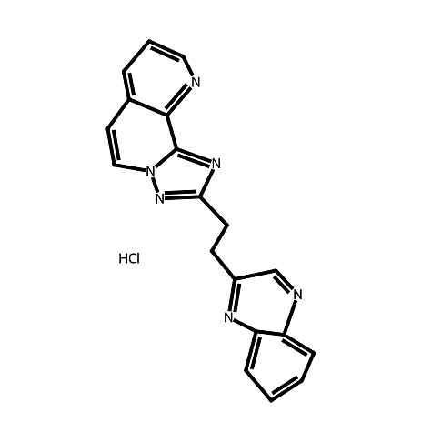 Cl.c1cnc2c(c1)ccn1nc(CCc3cnc4ccccc4n3)nc21